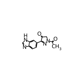 CC(=O)N1CC(=O)C(c2ccc3nc[nH]c3c2)=N1